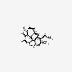 C=C(C)c1n[nH]c2ccc3nc(/C(=C/N)C(=N)C(F)(F)F)c4c(c3c12)CCCC4